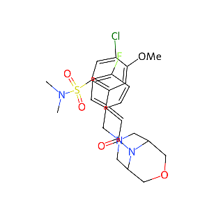 COc1cc(C=CC(=O)N2C3COCC2CN(Cc2ccc(F)cc2)C3)c(S(=O)(=O)N(C)C)cc1Cl